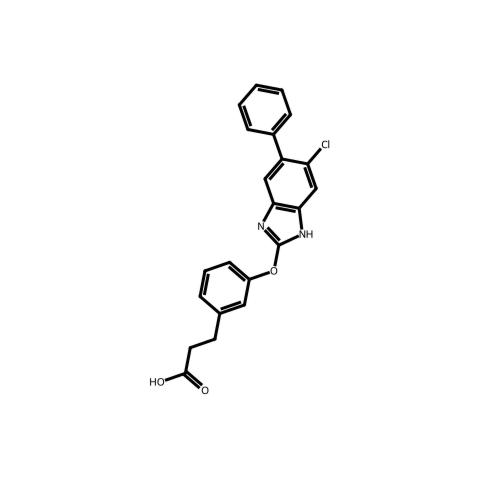 O=C(O)CCc1cccc(Oc2nc3cc(-c4ccccc4)c(Cl)cc3[nH]2)c1